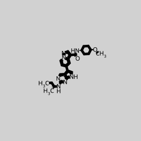 CC[C@H](C)Nc1ncc2c(-c3ccn4ncc(C(=O)N[C@H]5CC[C@H](OC)CC5)c4c3)c[nH]c2n1